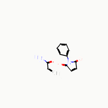 C=CC(N)=O.O=C1C=CC(=O)N1c1ccccc1